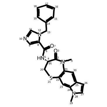 CN1C(=O)[C@@H](NC(=O)c2cncn2Cc2ccccc2)CSc2cc3c(ccn3C)cc21